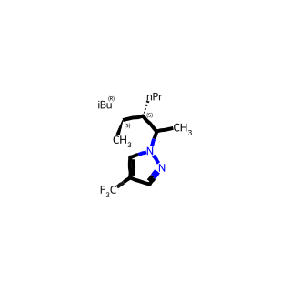 CCC[C@H](C(C)n1cc(C(F)(F)F)cn1)[C@@H](C)[C@H](C)CC